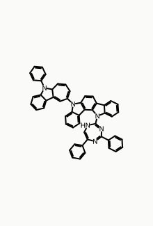 C1=CC2C(=CC(n3c4ccccc4c4c3ccc3c5ccccc5n(C5=NC(c6ccccc6)=NC(c6ccccc6)=CN5)c34)=C1)c1ccccc1N2c1ccccc1